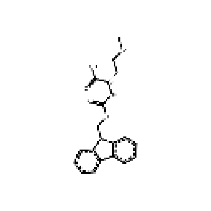 C[Se]CC[C@H](NC(=O)OCC1c2ccccc2-c2ccccc21)C(=O)O